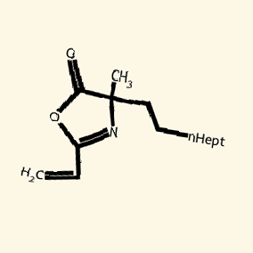 C=CC1=NC(C)(CCCCCCCCC)C(=O)O1